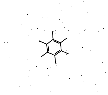 [CH2]c1c(C)c(C)c([CH2])c(C)c1C